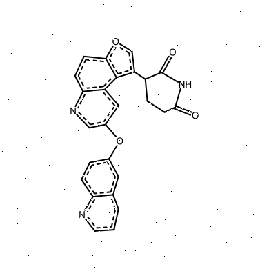 O=C1CCC(c2coc3ccc4ncc(Oc5ccc6ncccc6c5)cc4c23)C(=O)N1